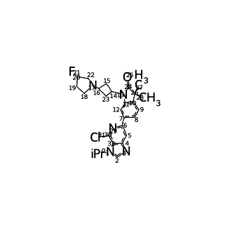 CC(C)n1cnc2cc(-c3ccc4c(c3)N(C3CC(N5CC[C@H](F)C5)C3)C(=O)C4(C)C)nc(Cl)c21